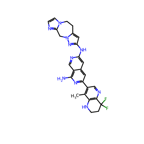 Cc1c(-c2cc3cc(Nc4cc5n(n4)Cc4nccn4CC5)ncc3c(N)n2)cnc2c1NCCC2(F)F